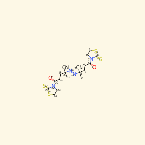 CC(C#N)(CCC(=O)N1CCSC1=S)N=NC(C)(C#N)CCC(=O)N1CCSC1=S